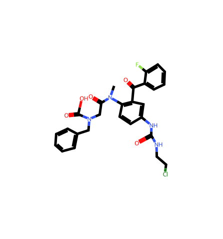 CN(C(=O)CN(Cc1ccccc1)C(=O)O)c1ccc(NC(=O)NCCCl)cc1C(=O)c1ccccc1F